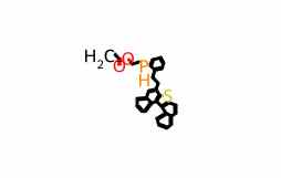 C=CC(=O)OCCPc1ccccc1CCc1cc2ccccc2c2c1sc1ccc3ccccc3c12